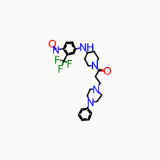 O=Nc1ccc(NC2CCN(C(=O)CCN3CCN(c4ccccc4)CC3)CC2)cc1C(F)(F)F